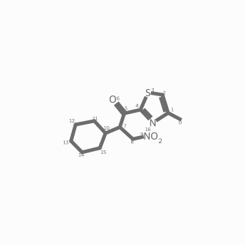 Cc1csc(C(=O)C(C[N+](=O)[O-])C2CCCCC2)n1